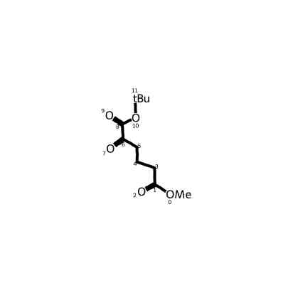 COC(=O)CCCC(=O)C(=O)OC(C)(C)C